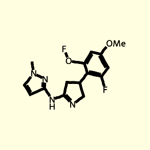 COc1cc(F)c(C2CN=C(Nc3ccn(C)n3)C2)c(OF)c1